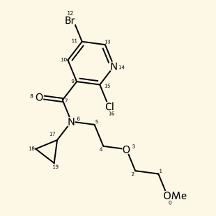 COCCOCCN(C(=O)c1cc(Br)cnc1Cl)C1CC1